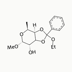 CCOC1(c2ccccc2)OC2[C@H](O)[C@H](OC)O[C@@H](C)[C@H]2O1